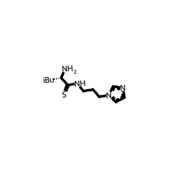 CCC(C)[C@H](N)C(=S)NCCCn1ccnc1